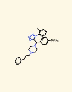 CC(=O)NC1=CCC([C@@H](c2nnnn2-c2c(C)cccc2C)N2CCN(C/C=C/c3ccccc3)CC2)C=C1